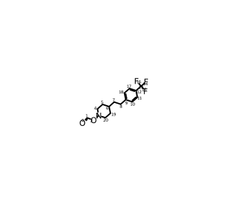 O=CON1CCC(CCc2ccc(C(F)(F)F)cc2)CC1